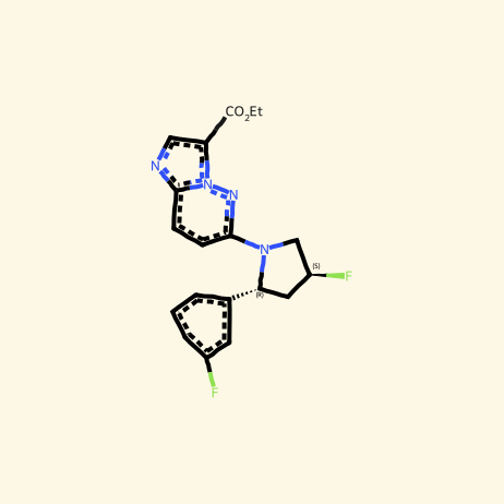 CCOC(=O)c1cnc2ccc(N3C[C@@H](F)C[C@@H]3c3cccc(F)c3)nn12